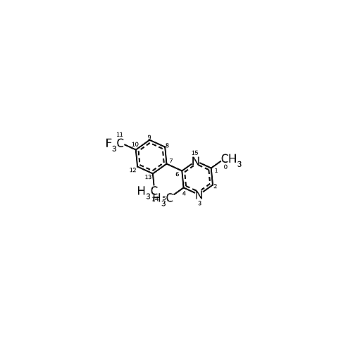 Cc1cnc(C)c(-c2ccc(C(F)(F)F)cc2C)n1